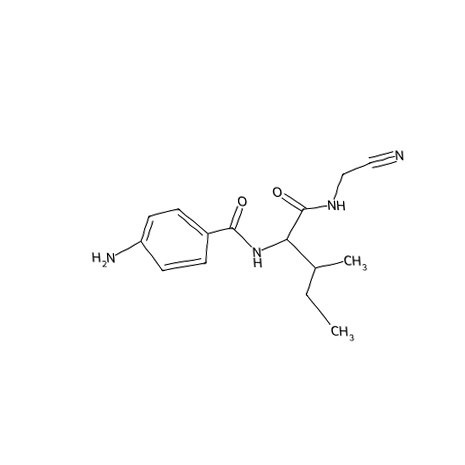 CCC(C)C(NC(=O)c1ccc(N)cc1)C(=O)NCC#N